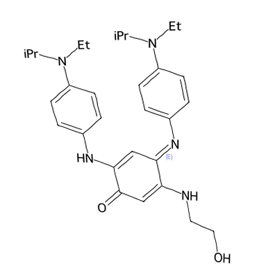 CCN(c1ccc(/N=C2\C=C(Nc3ccc(N(CC)C(C)C)cc3)C(=O)C=C2NCCO)cc1)C(C)C